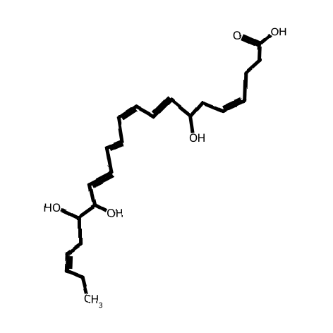 CC/C=C\CC(O)C(O)/C=C/C=C/C=C\C=C\C(O)C/C=C\CCC(=O)O